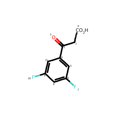 O=C(O)CC(=O)c1cc(F)cc(F)c1